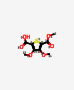 COC(=O)c1sc(C(=O)O)c(OC)c1OC